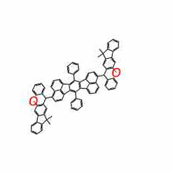 CC1(C)c2ccccc2-c2cc3c(cc21)C(c1ccc2c4c(-c5ccccc5)c5c6cccc7c(C8c9ccccc9Oc9cc%10c(cc98)C(C)(C)c8ccccc8-%10)ccc(c5c(-c5ccccc5)c4c4cccc1c42)c76)c1ccccc1O3